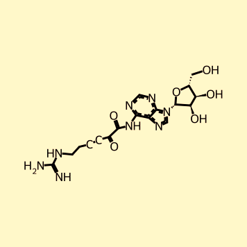 N=C(N)NCCCCC(=O)C(=O)Nc1ncnc2c1ncn2[C@@H]1O[C@H](CO)[C@@H](O)[C@H]1O